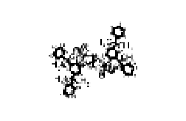 CC(C)(c1ccccc1)c1ccc(OC2(P(=O)=O)OCC3(CO2)COC(Oc2ccc(C(C)(C)c4ccccc4)cc2C(C)(C)c2ccccc2)(P(=O)=O)OC3)c(C(C)(C)c2ccccc2)c1